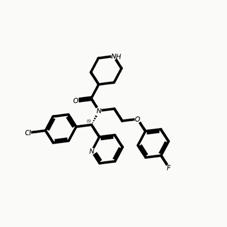 O=C(C1CCNCC1)N(CCOc1ccc(F)cc1)[C@@H](c1ccc(Cl)cc1)c1ccccn1